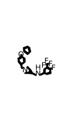 Fc1ccc(CNCC2C3CN(Cc4ccc(Oc5ccccc5)cc4)CC23)cc1C(F)(F)F